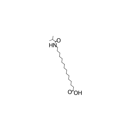 CC(C)C(=O)NCCCCCCCCCCCCCCCC(=O)O